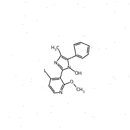 COc1nccc(I)c1-c1nc(C)c(-c2ccccc2)n1O